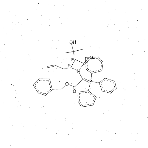 C=CC[C@@H]1[C@H](C(C)(C)O)C(=O)N1C(C(=O)OCc1ccccc1)=P(c1ccccc1)(c1ccccc1)c1ccccc1